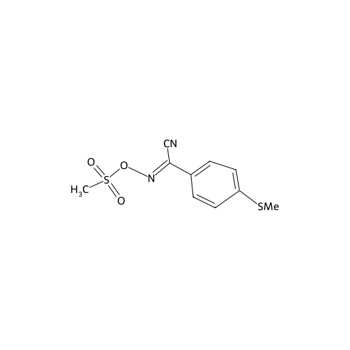 CSc1ccc(/C(C#N)=N/OS(C)(=O)=O)cc1